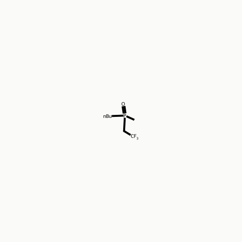 CCCCP(C)(=O)CC(F)(F)F